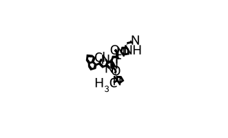 CN1CCC[C@H]1COc1nc(C=C(F)C(=O)N2CCN[C@@H](CC#N)C2)c2ncc(-c3cccc4cccc(Cl)c34)cc2n1